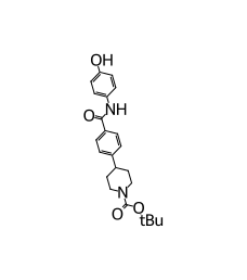 CC(C)(C)OC(=O)N1CCC(c2ccc(C(=O)Nc3ccc(O)cc3)cc2)CC1